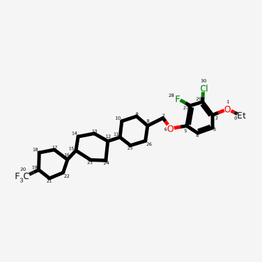 CCOc1ccc(OCC2CCC(C3CCC(C4CCC(C(F)(F)F)CC4)CC3)CC2)c(F)c1Cl